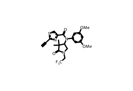 C#Cc1nc(C(=O)N(c2cc(OC)cc(OC)c2)C2CN(CC(F)(F)F)C(=O)C2(C)C)cs1